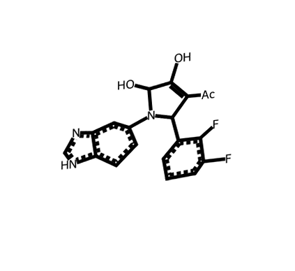 CC(=O)C1=C(O)C(O)N(c2ccc3[nH]cnc3c2)C1c1cccc(F)c1F